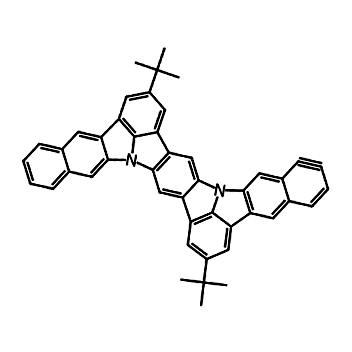 CC(C)(C)c1cc2c3cc4ccc#cc4cc3n3c4cc5c6cc(C(C)(C)C)cc7c8cc9ccccc9cc8n(c5cc4c(c1)c23)c76